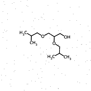 CC(C)COCC(CO)OCC(C)C